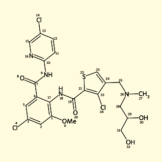 COc1cc(Cl)cc(C(=O)Nc2ccc(Cl)cn2)c1NC(=O)c1scc(CN(C)CC(O)CO)c1Cl